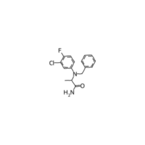 CC(C(N)=O)N(Cc1ccccc1)c1ccc(F)c(Cl)c1